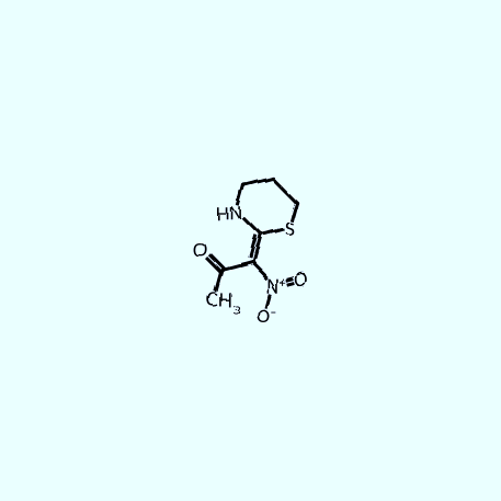 CC(=O)/C(=C1\NCCCS1)[N+](=O)[O-]